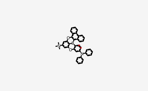 C[Si](C)(C)c1cc2c3c(c1)Oc1c(c4ccccc4c4ccccc14)B3c1c(cc(N(c3ccccc3)c3ccccc3)c3ccccc13)O2